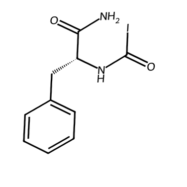 NC(=O)[C@@H](Cc1ccccc1)NC(=O)I